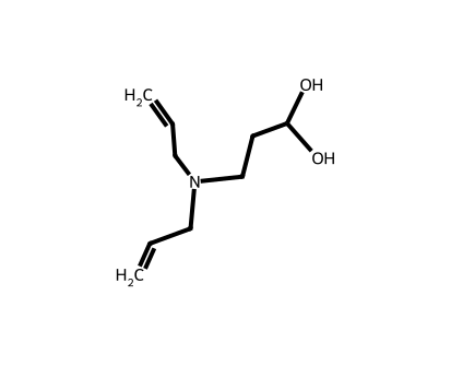 C=CCN(CC=C)CCC(O)O